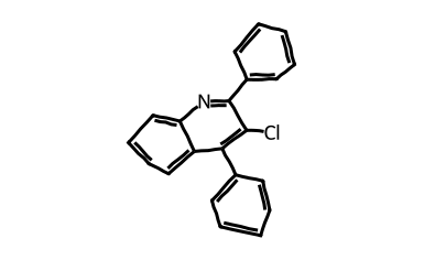 Clc1c(-c2ccccc2)nc2ccccc2c1-c1ccccc1